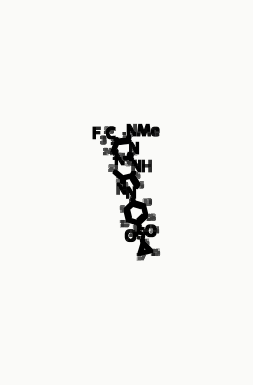 CNc1nc(Nc2cn(-c3ccc(S(=O)(=O)C4CC4)cc3)nc2C)ncc1C(F)(F)F